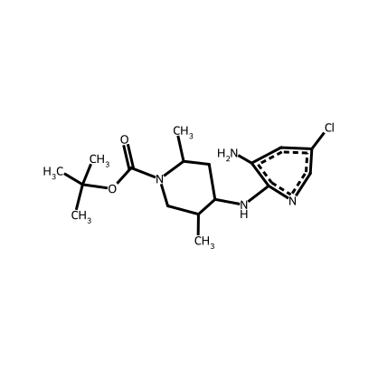 CC1CN(C(=O)OC(C)(C)C)C(C)CC1Nc1ncc(Cl)cc1N